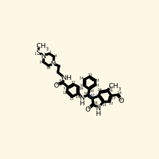 CSN1CCN(CCNC(=O)c2ccc(N/C(=C3\C(=O)Nc4cc(C=O)c(C)cc43)c3ccccc3)cc2)CC1